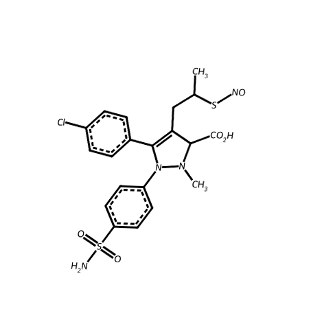 CC(CC1=C(c2ccc(Cl)cc2)N(c2ccc(S(N)(=O)=O)cc2)N(C)C1C(=O)O)SN=O